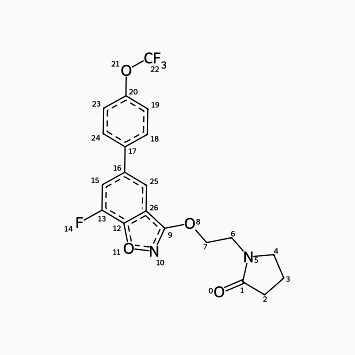 O=C1CCCN1CCOc1noc2c(F)cc(-c3ccc(OC(F)(F)F)cc3)cc12